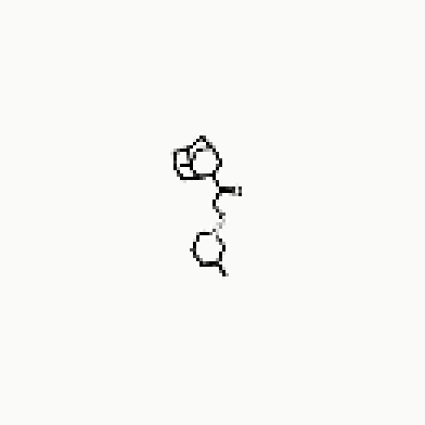 CC1CCCN(SCC(=O)C23CC4CC5CC(C2)C5(C4)C3)C1